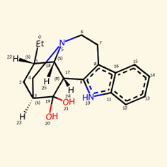 CC[C@H]1C[C@H]2CN3CCc4c([nH]c5ccccc45)[C@@H]([C@H]13)C2(O)O